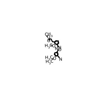 CCOC(=O)CCc1cccc(-c2noc(-c3ccc(OC(C)C)c(C#N)c3)n2)c1OC